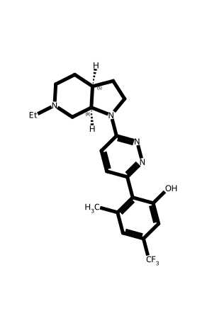 CCN1CC[C@H]2CCN(c3ccc(-c4c(C)cc(C(F)(F)F)cc4O)nn3)[C@H]2C1